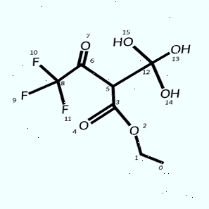 CCOC(=O)C(C(=O)C(F)(F)F)C(O)(O)O